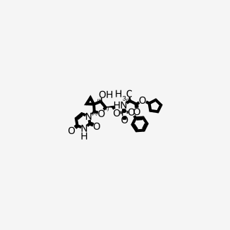 C[C@H](NP(=O)(OC[C@H]1O[C@@H](n2ccc(=O)[nH]c2=O)C2(CC2)[C@@H]1O)Oc1ccccc1)C(=O)OC1CCCC1